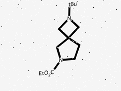 CCOC(=O)N1CCC2(C1)CN(C(C)(C)C)C2